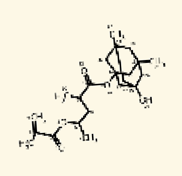 C=C(C)C(=O)OC(C)CC(C)C(=O)OC12CC3(C)CC(C)(CC(O)(C3)C1)C2